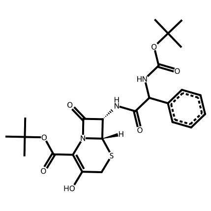 CC(C)(C)OC(=O)NC(C(=O)N[C@H]1C(=O)N2C(C(=O)OC(C)(C)C)=C(O)CS[C@@H]12)c1ccccc1